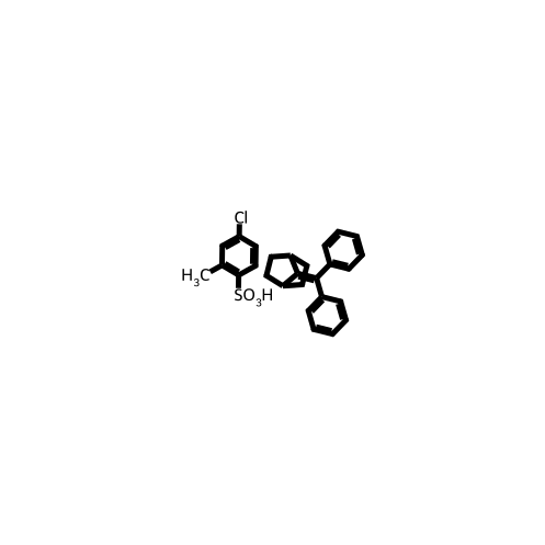 Cc1cc(Cl)ccc1S(=O)(=O)O.c1ccc(C(=C2C3CCC2CC3)c2ccccc2)cc1